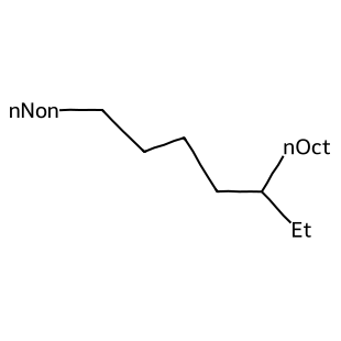 [CH2]CC(CCCCCCCC)CCCCCCCCCCCCC